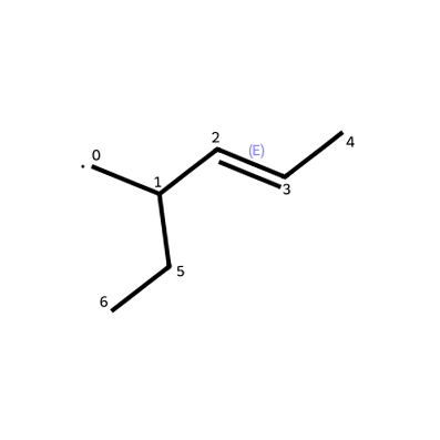 [CH2]C(/C=C/C)CC